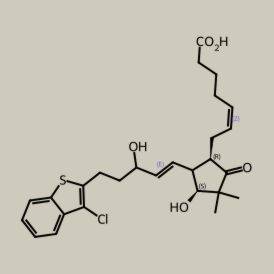 CC1(C)C(=O)[C@H](C/C=C\CCCC(=O)O)C(/C=C/C(O)CCc2sc3ccccc3c2Cl)[C@@H]1O